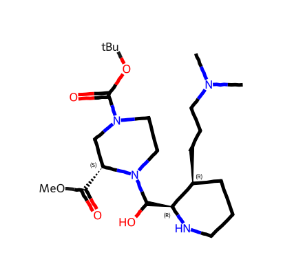 COC(=O)[C@@H]1CN(C(=O)OC(C)(C)C)CCN1C(O)[C@@H]1NCCC[C@@H]1CCCN(C)C